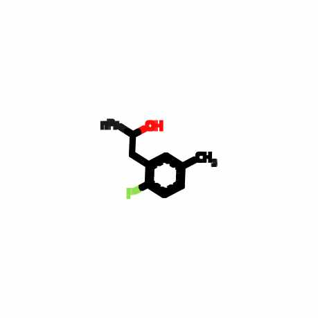 CCCC(O)Cc1cc(C)ccc1F